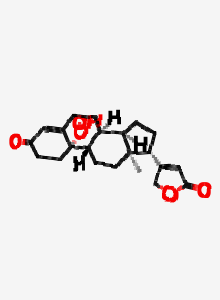 C[C@]12CC[C@H]3[C@@H](CCC4=CC(=O)CC[C@@]43OO)[C@H]1CC[C@@H]2C1=CC(=O)OC1